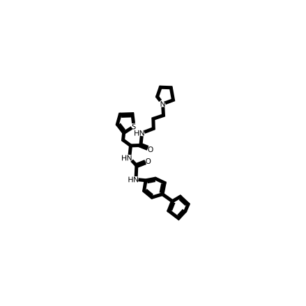 O=C(Nc1ccc(-c2ccccc2)cc1)NC(Cc1cccs1)C(=O)NCCCN1CCCC1